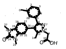 Cc1cccc(-c2nn(CC(=O)O)c(C)c2-c2ccc3c(c2)n(C)c(=O)n3C)c1